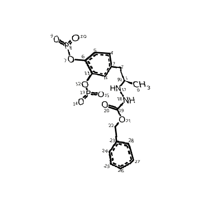 C[C@H](Cc1ccc(OP(=O)=O)c(OP(=O)=O)c1)NNC(=O)OCc1ccccc1